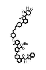 Cc1c(OC2CCC(CCCN3CCC(c4cccc5c(C6CCC(=O)NC6=O)nn(C)c45)CC3)CC2)cccc1-c1ccc(N2CCc3cccc(C(=O)Nc4nc5ccccc5s4)c3C2)nc1C(=O)OC(C)(C)C